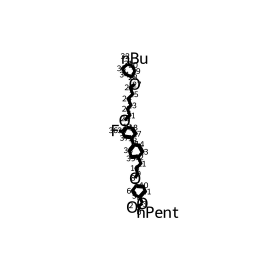 [CH2+][CH-]CCCC(=O)Oc1ccc(OCCCc2ccc(-c3ccc(OCCCCCCOC4CCC(CCCC)CC4)c(F)c3)cc2)cc1